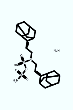 N=S(=O)(OS(N)(=O)=O)N(CC=C1C2CC3CC(C2)CC1C3)CC=C1C2CC3CC(C2)CC1C3.[NaH]